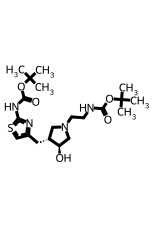 CC(C)(C)OC(=O)NCCN1C[C@@H](Cc2csc(NC(=O)OC(C)(C)C)n2)[C@H](O)C1